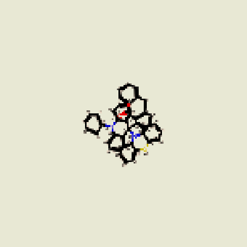 O=C1c2ccccc2Cc2cccc(C3(N4c5ccccc5Sc5ccccc54)c4ccccc4N(c4ccccc4)c4ccccc43)c21